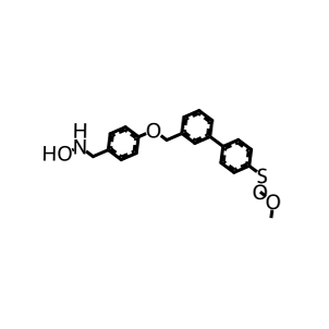 COOSc1ccc(-c2cccc(COc3ccc(CNO)cc3)c2)cc1